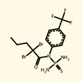 CCCC(Br)(Br)C(=O)N(c1ccc(C(F)(F)F)cc1)P(N)(N)=S